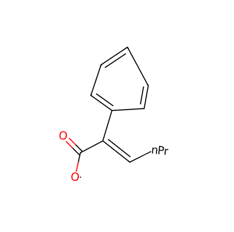 CCC/C=C(/C([O])=O)c1ccccc1